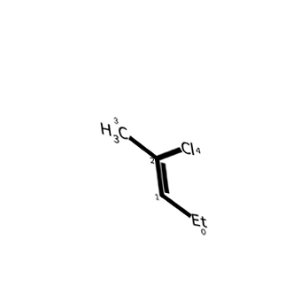 CCC=C(C)Cl